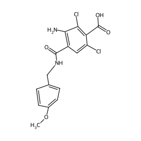 COc1ccc(CNC(=O)c2cc(Cl)c(C(=O)O)c(Cl)c2N)cc1